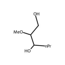 CCCC(O)C(CO)OC